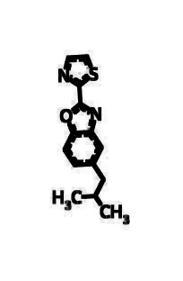 CC(C)Cc1ccc2oc(-c3nccs3)nc2c1